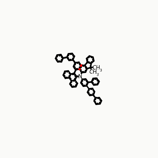 CC1(C)c2ccccc2-c2ccc(N(c3ccc(-c4ccc(-c5ccccc5)cc4)c(-c4ccccc4)c3)c3c(-c4cccc(-c5cccc(-c6ccccc6)c5)c4)c4ccccc4c4ccccc34)cc21